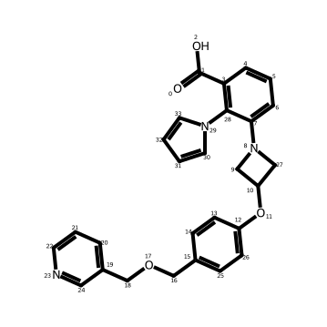 O=C(O)c1cccc(N2CC(Oc3ccc(COCc4cccnc4)cc3)C2)c1-n1cccc1